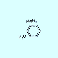 O.[MgH2].[c]1ccccc1